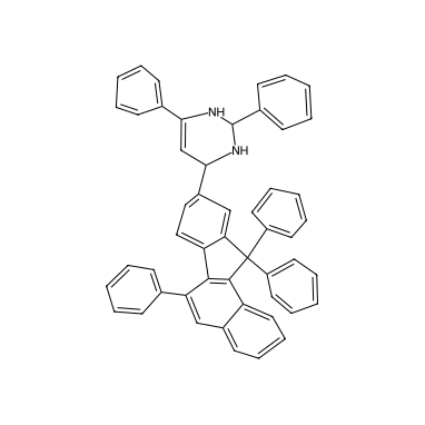 C1=C(c2ccccc2)NC(c2ccccc2)NC1c1ccc2c(c1)C(c1ccccc1)(c1ccccc1)c1c-2c(-c2ccccc2)cc2ccccc12